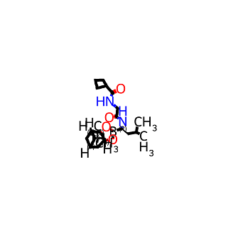 CC(C)C[C@H](NC(=O)CNC(=O)C1CCC1)B1O[C@@H]2C[C@@H]3C[C@@H]([C@@H]3C)[C@]2(C)O1